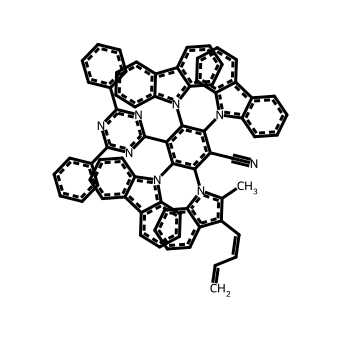 C=C/C=C\c1c(C)n(-c2c(C#N)c(-n3c4ccccc4c4ccccc43)c(-n3c4ccccc4c4ccccc43)c(-c3nc(-c4ccccc4)nc(-c4ccccc4)n3)c2-n2c3ccccc3c3ccccc32)c2ccccc12